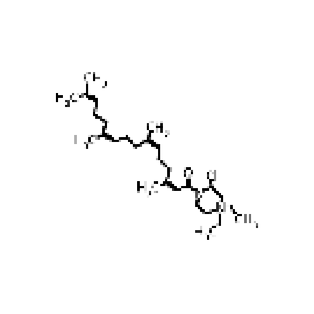 CC[N+]1(CC)CCN(C(=O)C=C(C)CCC=C(C)CCC=C(C)CCC=C(C)C)C(Cl)C1